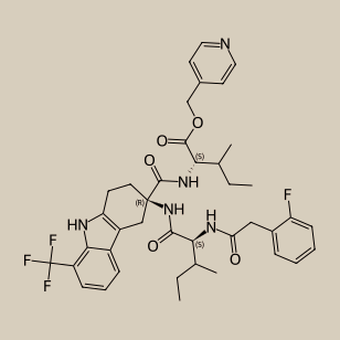 CCC(C)[C@H](NC(=O)Cc1ccccc1F)C(=O)N[C@]1(C(=O)N[C@H](C(=O)OCc2ccncc2)C(C)CC)CCc2[nH]c3c(C(F)(F)F)cccc3c2C1